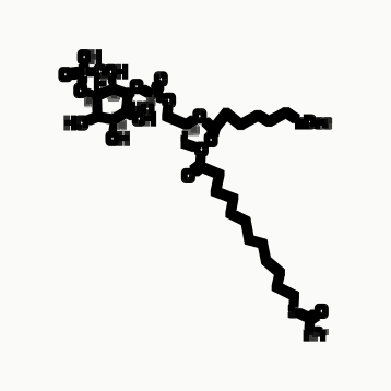 CCCCCCCCCCCCCCCC(=O)O[C@H](COC(=O)CCCCCCCCCCCSC(=O)CCC)COP(=O)(O)OC1C(O)[C@@H](O)C(O)[C@@H](OP(=O)(O)O)[C@H]1O